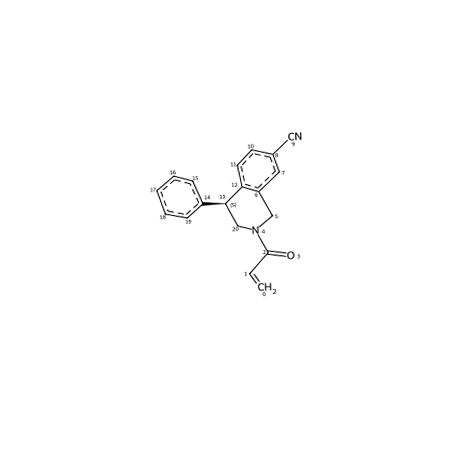 C=CC(=O)N1Cc2cc(C#N)ccc2[C@H](c2ccccc2)C1